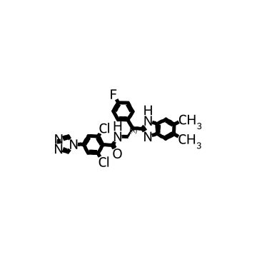 Cc1cc2nc([C@@H](CNC(=O)c3c(Cl)cc(-n4cnnc4)cc3Cl)c3ccc(F)cc3)[nH]c2cc1C